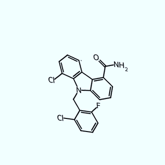 NC(=O)c1cccc2c1c1[c]ccc(Cl)c1n2Cc1c(F)cccc1Cl